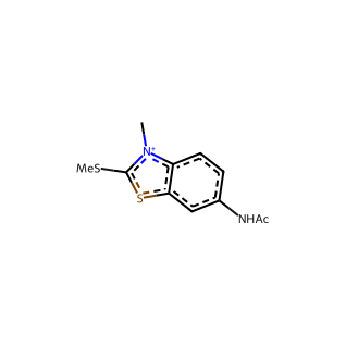 CSc1sc2cc(NC(C)=O)ccc2[n+]1C